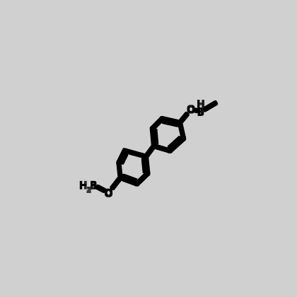 BOc1ccc(-c2ccc(OBC)cc2)cc1